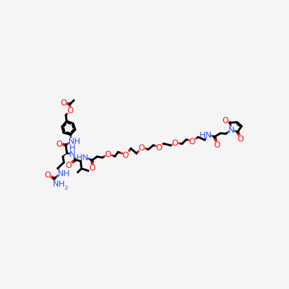 CC(=O)OCc1ccc(NC(=O)[C@H](CCCNC(N)=O)NC(=O)[C@@H](NC(=O)CCOCCOCCOCCOCCOCCOCCNC(=O)CCN2C(=O)C=CC2=O)C(C)C)cc1